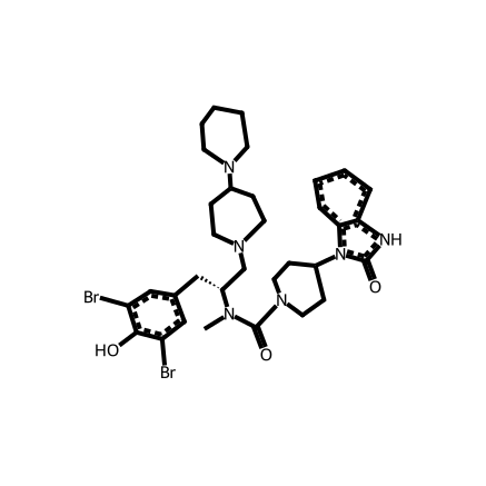 CN(C(=O)N1CCC(n2c(=O)[nH]c3ccccc32)CC1)[C@H](Cc1cc(Br)c(O)c(Br)c1)CN1CCC(N2CCCCC2)CC1